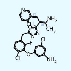 C=c1ccnc/c1=C/C(=C(/C)N)c1nnc(Cc2ccc(Cl)c(Oc3cc(N)cc(Cl)c3)c2F)o1